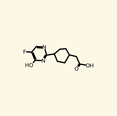 O=C(O)CC1CCC(c2ncc(F)c(O)n2)CC1